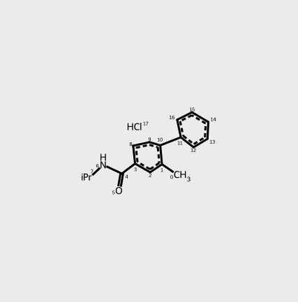 Cc1cc(C(=O)NC(C)C)ccc1-c1ccccc1.Cl